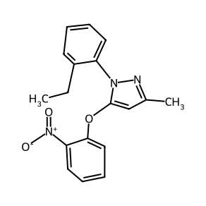 CCc1ccccc1-n1nc(C)cc1Oc1ccccc1[N+](=O)[O-]